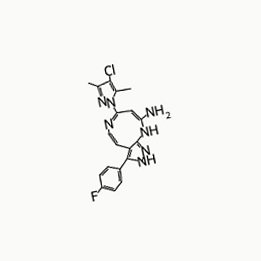 Cc1nn(-c2cc(N)[nH]c3n[nH]c(-c4ccc(F)cc4)c3ccn2)c(C)c1Cl